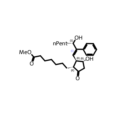 CCCCC[C@H](O)/C(=C/[C@H]1[C@H](O)CC(=O)[C@@H]1CCCCCCC(=O)OC)c1ccccc1